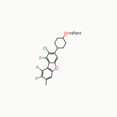 CCCCCOC1CCC(c2cc3oc4cc(C)c(F)c(F)c4c3c(F)c2Cl)CC1